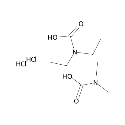 CCN(CC)C(=O)O.CN(C)C(=O)O.Cl.Cl